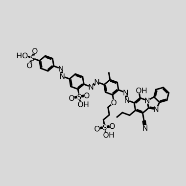 CCCc1c(N=Nc2cc(C)c(N=Nc3ccc(N=Nc4ccc(S(=O)(=O)O)cc4)cc3S(=O)(=O)O)cc2OCCCS(=O)(=O)O)c(O)n2c(nc3ccccc32)c1C#N